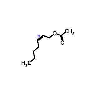 CCCC/C=C\COC(C)=O